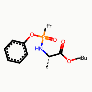 CCC(C)OC(=O)[C@H](C)NP(=O)(Oc1ccccc1)C(C)C